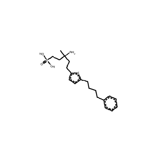 CC(N)(CCc1ccc(CCCCc2ccccc2)s1)CCP(=O)(O)O